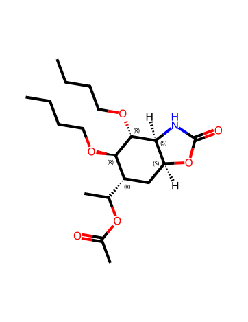 CCCCO[C@@H]1[C@H]2NC(=O)O[C@H]2C[C@H](C(C)OC(C)=O)[C@H]1OCCCC